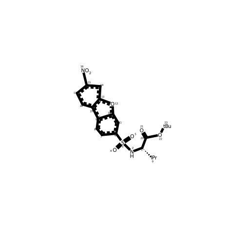 CC(C)[C@H](NS(=O)(=O)c1ccc2c(c1)oc1cc([N+](=O)[O-])ccc12)C(=O)OC(C)(C)C